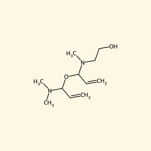 C=CC(OC(C=C)N(C)CCO)N(C)C